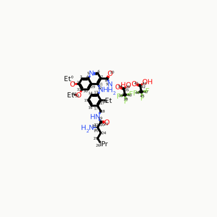 CCOc1cc2ncc(C(N)=O)c(Nc3cccc(CNC(=O)[C@H](N)CCC(C)C)c3CC)c2cc1OCC.O=C(O)C(F)(F)F.O=C(O)C(F)(F)F